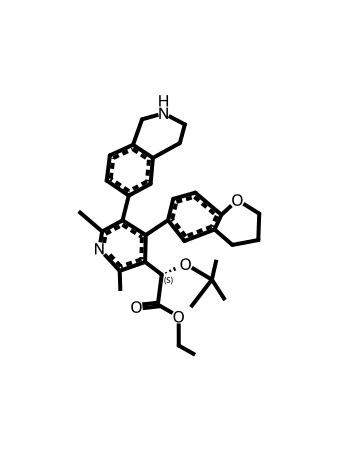 CCOC(=O)[C@@H](OC(C)(C)C)c1c(C)nc(C)c(-c2ccc3c(c2)CCNC3)c1-c1ccc2c(c1)CCCO2